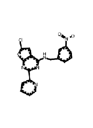 O=[N+]([O-])c1cccc(CNc2nc(-c3ccccn3)nc3sc(Cl)cc23)c1